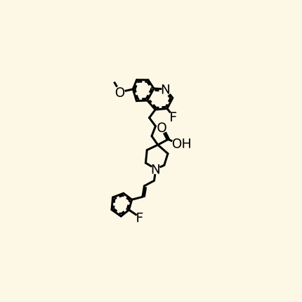 COc1ccc2ncc(F)c(CCCC3(C(=O)O)CCN(C/C=C/c4ccccc4F)CC3)c2c1